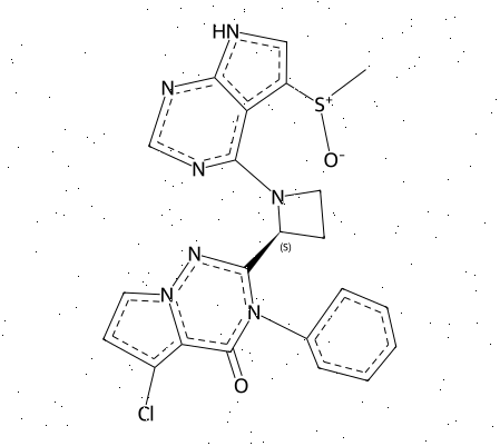 C[S+]([O-])c1c[nH]c2ncnc(N3CC[C@H]3c3nn4ccc(Cl)c4c(=O)n3-c3ccccc3)c12